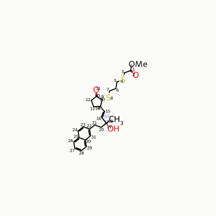 COC(=O)CSCCCS[C@H]1C(=O)CC[C@@H]1/C=C/C(C)(O)CCc1ccc2ccccc2c1